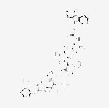 CO[C@H]([C@@H](C)C(=O)N[C@@H](Cc1ccccc1)C(=O)OC(C)(C)C)[C@@H]1CCCN1C(=O)C[C@@H](OC)[C@H](C1CCCC1)N(C)C(=O)[C@@H](NC(=O)C(C)(C)NC(=O)OCC1c2ccccc2-c2ccccc21)C(C)C